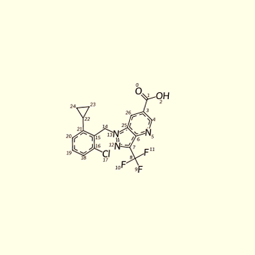 O=C(O)c1cnc2c(C(F)(F)F)nn(Cc3c(Cl)cccc3C3CC3)c2c1